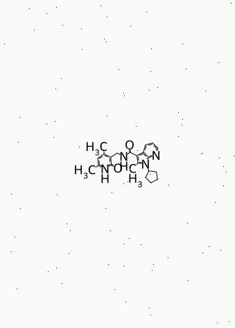 Cc1cc(C)c(CNC(=O)c2c(C)n(C3CCCC3)c3ncccc23)c(=O)[nH]1